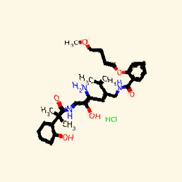 COCCCCOc1ccccc1C(=O)NCC(CC(N)C(O)CNC(=O)C(C)(C)C1CCCCC1O)C(C)C.Cl